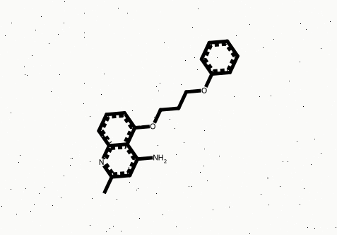 Cc1cc(N)c2c(OCCCOc3ccccc3)cccc2n1